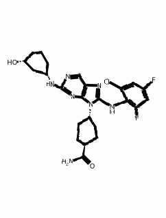 NC(=O)[C@H]1CC[C@H](n2c(Nc3c(F)cc(F)cc3Cl)nc3cnc(N[C@H]4CCC[C@@H](O)C4)nc32)CC1